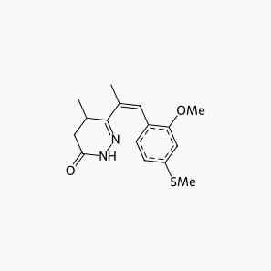 COc1cc(SC)ccc1C=C(C)C1=NNC(=O)CC1C